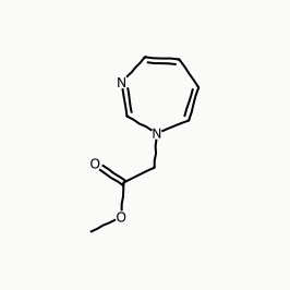 COC(=O)CN1C=CC=CN=C1